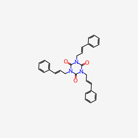 O=c1n(C/C=C/c2ccccc2)c(=O)n(C/C=C/c2ccccc2)c(=O)n1C/C=C/c1ccccc1